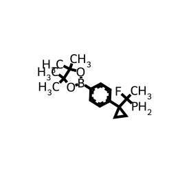 CC(F)(P)C1(c2ccc(B3OC(C)(C)C(C)(C)O3)cc2)CC1